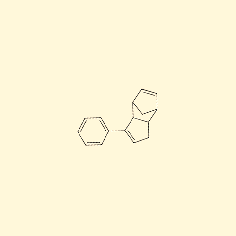 C1=CC2CC1C1CC=C(c3ccccc3)C21